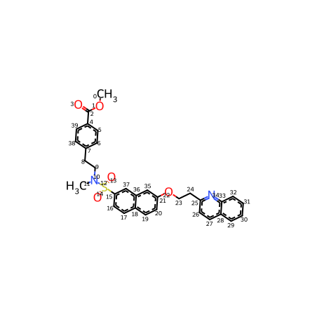 COC(=O)c1ccc(CCN(C)S(=O)(=O)c2ccc3ccc(OCCc4ccc5ccccc5n4)cc3c2)cc1